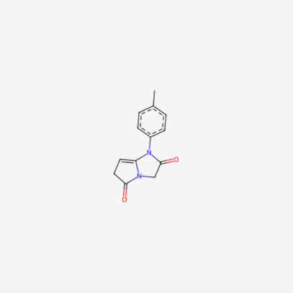 Cc1ccc(N2C(=O)CN3C(=O)CC=C32)cc1